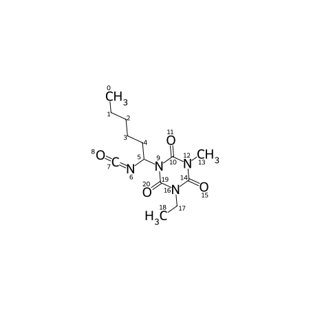 CCCCCC(N=C=O)n1c(=O)n(C)c(=O)n(CC)c1=O